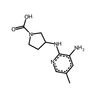 Cc1cnc(NC2CCN(C(=O)O)C2)c(N)c1